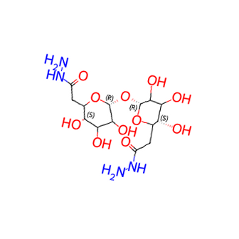 NNC(=O)CC1O[C@H](O[C@H]2OC(CC(=O)NN)[C@@H](O)C(O)C2O)C(O)C(O)[C@@H]1O